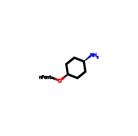 CCCCCO[C@H]1CC[C@H](N)CC1